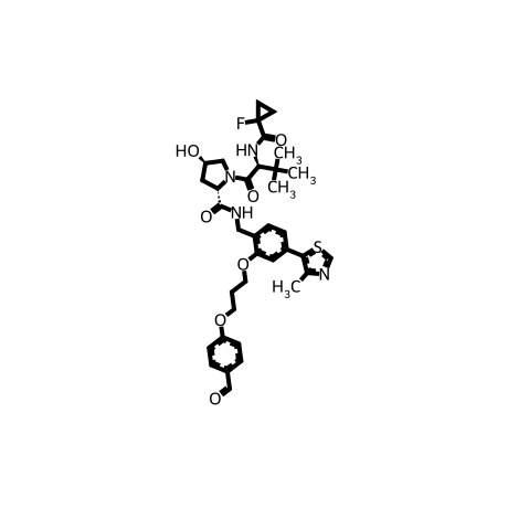 Cc1ncsc1-c1ccc(CNC(=O)[C@@H]2C[C@@H](O)CN2C(=O)[C@@H](NC(=O)C2(F)CC2)C(C)(C)C)c(OCCCOc2ccc(C=O)cc2)c1